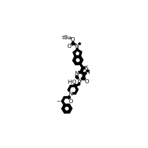 C[C@H](CC(=O)N1CCC(O)(Cn2cnc3c(-c4ccc5c(c4)CC(N(C)C(=O)OC(C)(C)C)C5)snc3c2=O)CC1)c1ccccc1